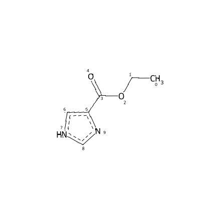 CCOC(=O)c1[c][nH]cn1